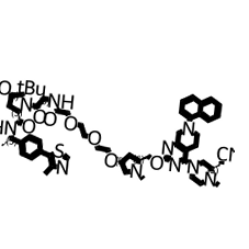 Cc1ncsc1-c1ccc([C@H](C)NC(=O)[C@@H]2C[C@@H](O)CN2C(=O)[C@@H](NC(=O)COCCOCCO[C@@H]2C[C@@H](COc3nc4c(c(N5CCN(C)[C@@H](CC#N)C5)n3)CCN(c3cccc5ccccc35)C4)N(C)C2)C(C)(C)C)cc1